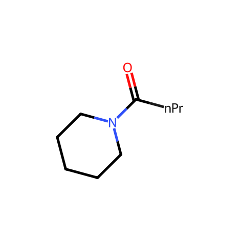 [CH2]CCC(=O)N1CCCCC1